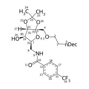 CCCCCCCCCCCCOC[C@@]12O[C@@H](CNC(=O)c3ccc(C(F)(F)F)cc3)[C@@H](O)[C@@H]1OC(C)(C)O2